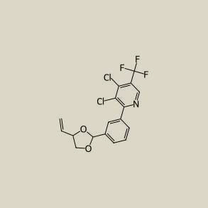 C=CC1COC(c2cccc(-c3ncc(C(F)(F)F)c(Cl)c3Cl)c2)O1